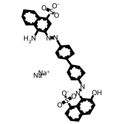 Nc1c(N=Nc2ccc(-c3ccc(N=Nc4c(O)ccc5cccc(S(=O)(=O)[O-])c45)cc3)cc2)cc(S(=O)(=O)[O-])c2ccccc12.[Na+].[Na+]